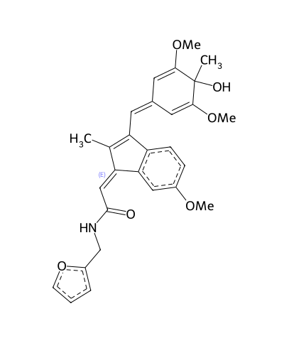 COC1=CC(=CC2=C(C)/C(=C/C(=O)NCc3ccco3)c3cc(OC)ccc32)C=C(OC)C1(C)O